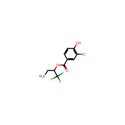 CCC(OC(=O)c1ccc(O)c(Cl)c1)C(F)(F)F